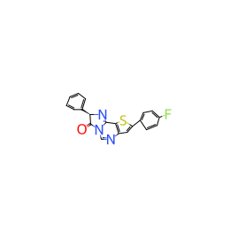 O=C1[C@@H](c2ccccc2)N=C2c3sc(-c4ccc(F)cc4)cc3N=CN12